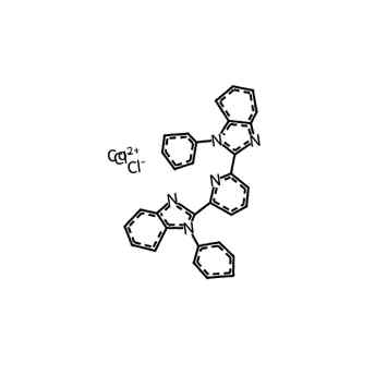 [Cl-].[Cl-].[Co+2].c1ccc(-n2c(-c3cccc(-c4nc5ccccc5n4-c4ccccc4)n3)nc3ccccc32)cc1